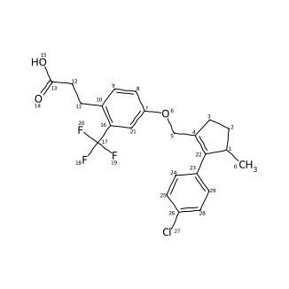 CC1CCC(COc2ccc(CCC(=O)O)c(C(F)(F)F)c2)=C1c1ccc(Cl)cc1